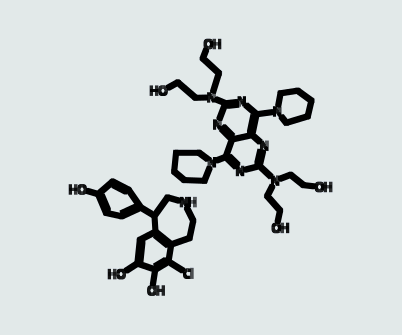 OCCN(CCO)c1nc(N2CCCCC2)c2nc(N(CCO)CCO)nc(N3CCCCC3)c2n1.Oc1ccc(C2CNCCc3c2cc(O)c(O)c3Cl)cc1